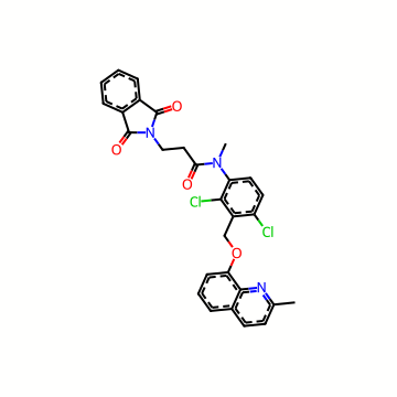 Cc1ccc2cccc(OCc3c(Cl)ccc(N(C)C(=O)CCN4C(=O)c5ccccc5C4=O)c3Cl)c2n1